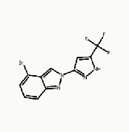 FC(F)(F)c1cc(-n2cc3c(Br)cccc3n2)n[nH]1